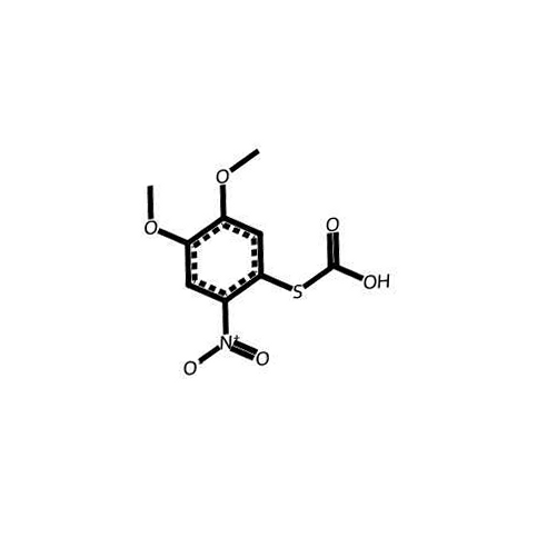 COc1cc(SC(=O)O)c([N+](=O)[O-])cc1OC